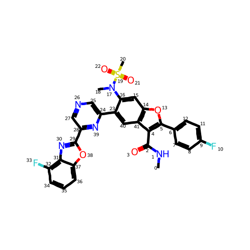 CNC(=O)c1c(-c2ccc(F)cc2)oc2cc(N(C)S(C)(=O)=O)c(-c3cncc(-c4nc5c(F)cccc5o4)n3)cc12